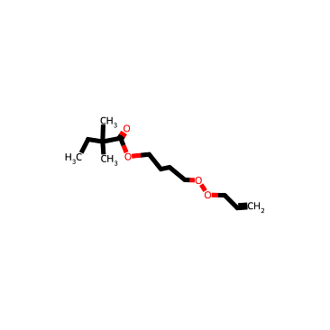 C=CCOOCCCCOC(=O)C(C)(C)CC